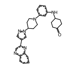 O=C1CCC(Nc2cccc(N3CCC(n4cc(-c5cnc6ccccc6n5)cn4)CC3)c2)CC1